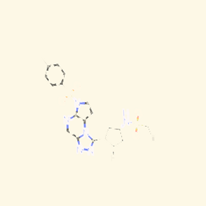 CC[C@@H]1C[C@H](NS(=O)(=O)CC(C)C)C[C@@H]1c1nnc2cnc3c(ccn3S(=O)(=O)c3ccc(C)cc3)n12